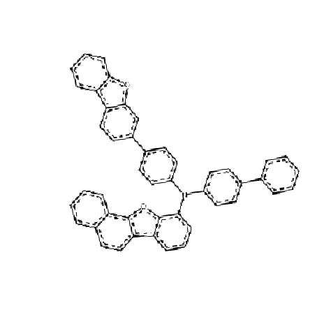 c1ccc(-c2ccc(N(c3ccc(-c4ccc5c(c4)oc4ccccc45)cc3)c3cccc4c3oc3c5ccccc5ccc43)cc2)cc1